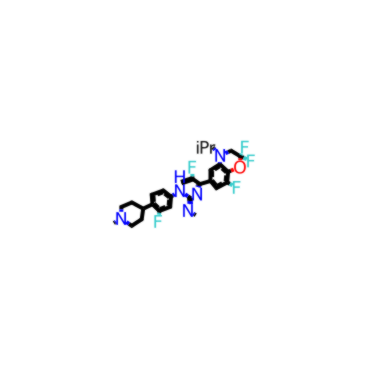 C=C(F)/C(=N\C(=N/C)Nc1ccc(C2CCN(C)CC2)c(F)c1)c1cc(F)c2c(c1)N(C(C)C)CC(F)(F)O2